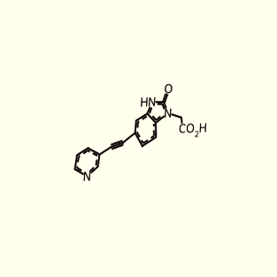 O=C(O)Cn1c(=O)[nH]c2cc(C#Cc3cccnc3)ccc21